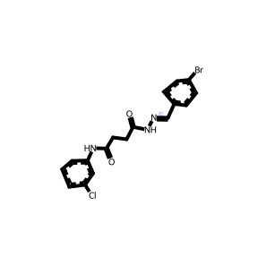 O=C(CCC(=O)Nc1cccc(Cl)c1)N/N=C/c1ccc(Br)cc1